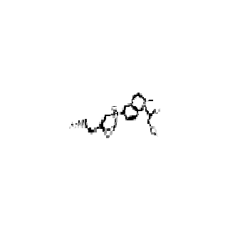 CC(=O)NC[C@H]1C[N+]([O-])(c2ccc3c(c2)CC[C@@H](C)N3C(=O)CO)CO1